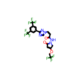 O=C(/C=C\n1cnc(-c2cc(C(F)(F)F)cc(C(F)(F)F)c2)n1)NN1CC(OCC(F)(F)F)=CC1=O